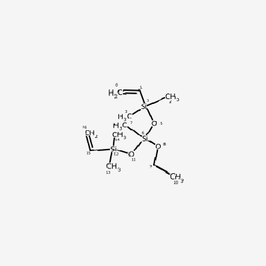 C=C[Si](C)(C)O[Si](C)(OCC)O[Si](C)(C)C=C